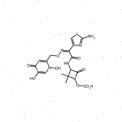 CC1(C)C(NC(=O)/C(=N\OCc2cc(=O)c(O)cn2O)c2csc(N)n2)C(=O)N1OS(=O)(=O)O